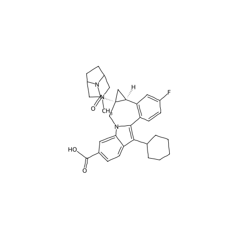 CN1CC2CCC(C1)N2C(=O)[C@]12C[C@H]1c1cc(F)ccc1-c1c(C3CCCCC3)c3ccc(C(=O)O)cc3n1C2